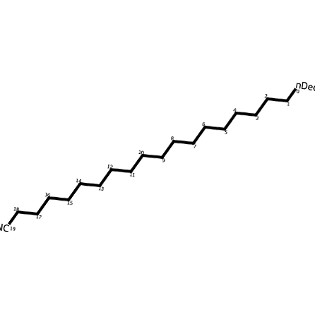 CCCCCCCCCCCCCCCCCCCCCCCCCCCCC#N